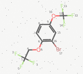 FC(F)(F)COc1ccc(OC(F)(F)F)cc1Br